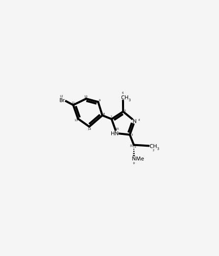 CN[C@@H](C)c1nc(C)c(-c2ccc(Br)cc2)[nH]1